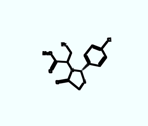 COC(=O)C(CC(C)C)N1C(=O)CS[C@H]1c1ccc(Cl)cc1